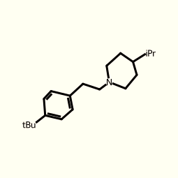 CC(C)C1CCN(CCc2ccc(C(C)(C)C)cc2)CC1